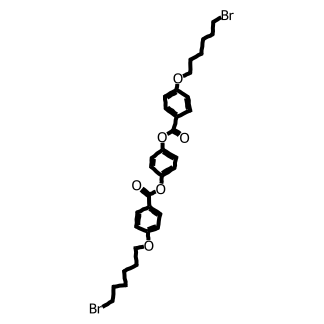 O=C(Oc1ccc(OC(=O)c2ccc(OCCCCCCBr)cc2)cc1)c1ccc(OCCCCCCBr)cc1